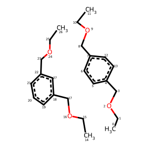 CCOCc1ccc(COCC)cc1.CCOCc1cccc(COCC)c1